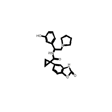 O=C(NC(CN1CCCC1)c1cccc(O)c1)C1(c2ccc3oc(=O)[nH]c3c2)CC1